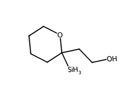 OCCC1([SiH3])CCCCO1